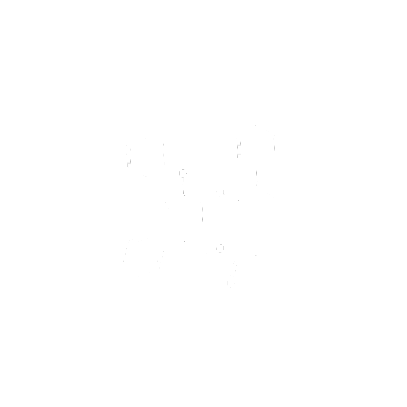 CC(=COC(C)C(=O)Oc1ccc(C)cc1)c1ccccc1.CCC(=O)OCCc1ccccc1